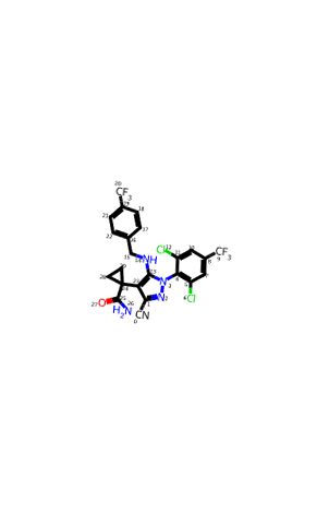 N#Cc1nn(-c2c(Cl)cc(C(F)(F)F)cc2Cl)c(NCc2ccc(C(F)(F)F)cc2)c1C1(C(N)=O)CC1